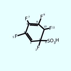 O=S(=O)(O)C1(F)C=C(F)C(F)=C(F)C1F